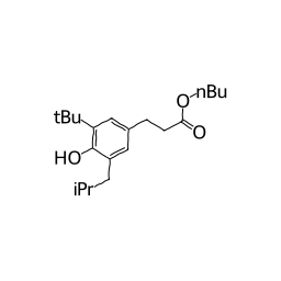 CCCCOC(=O)CCc1cc(CC(C)C)c(O)c(C(C)(C)C)c1